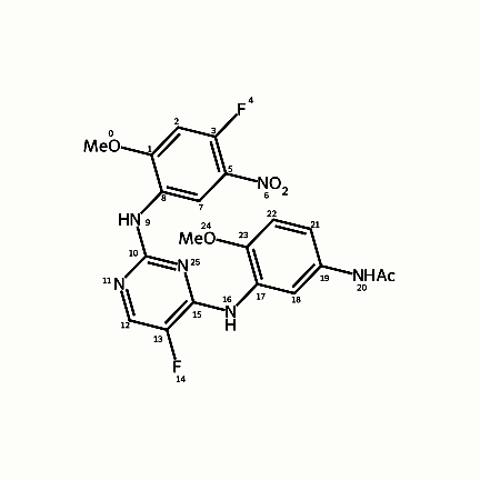 COc1cc(F)c([N+](=O)[O-])cc1Nc1ncc(F)c(Nc2cc(NC(C)=O)ccc2OC)n1